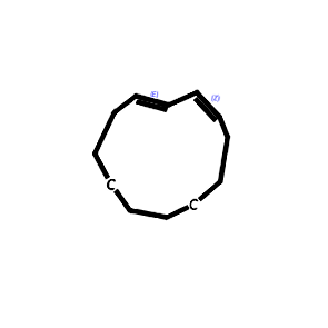 [CH]1/C=C/C=C\CCCCCCC1